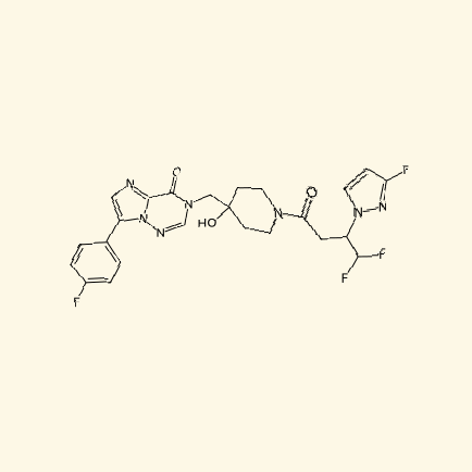 O=C(CC(C(F)F)n1ccc(F)n1)N1CCC(O)(Cn2cnn3c(-c4ccc(F)cc4)cnc3c2=O)CC1